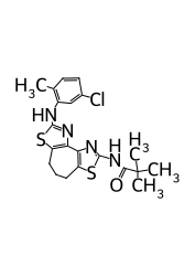 Cc1ccc(Cl)cc1Nc1nc2c(s1)CCCc1sc(NC(=O)C(C)(C)C)nc1-2